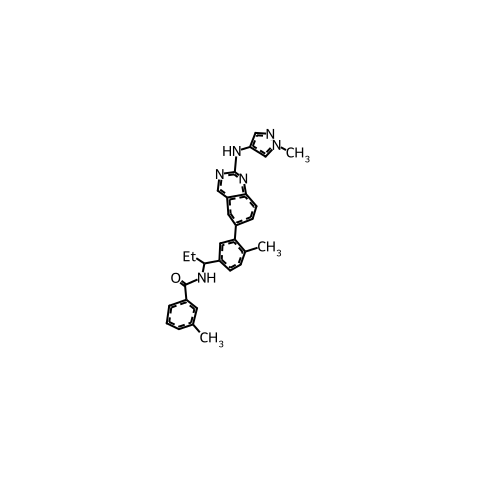 CCC(NC(=O)c1cccc(C)c1)c1ccc(C)c(-c2ccc3nc(Nc4cnn(C)c4)ncc3c2)c1